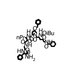 CCCC(NC(=O)[C@@H]1C[C@@H](OCc2ccccc2)CN1C(=O)C(CCCNC(=O)C1CCCCC1)NC(=O)OCC(C)C)C(=O)C(=O)NCC(=O)N[C@H](C(N)=O)c1ccccc1